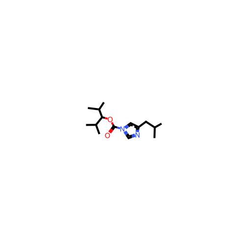 CC(C)Cc1cn(C(=O)OC(C(C)C)C(C)C)cn1